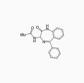 CC(C)(C)C(=O)NC1N=C(c2ccccc2)c2ccccc2NC1=O